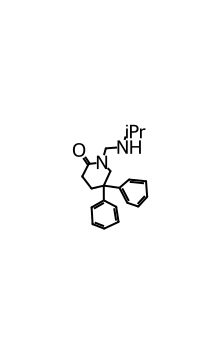 CC(C)NCN1CC(c2ccccc2)(c2ccccc2)CCC1=O